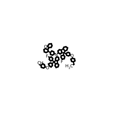 C=Cc1ccc(Oc2ccc(C3(c4ccc(F)cc4)c4ccccc4-c4ccc(N(c5ccc(-c6cccc7oc8ccccc8c67)cc5)c5ccc6c(c5)C(c5ccc(F)cc5)(c5ccc(Oc7ccc(C=C)cc7)cc5)c5ccccc5-6)cc43)cc2)cc1